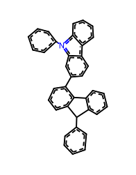 c1ccc(C2c3ccccc3-c3c(-c4ccc5c6ccccc6n(-c6ccccc6)c5c4)cccc32)cc1